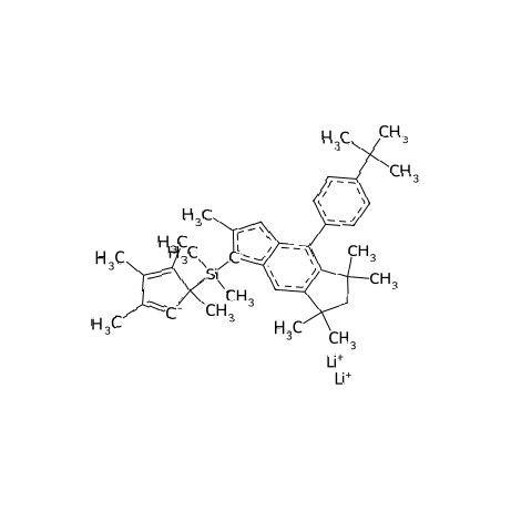 CC1=[C-]C(C)([Si](C)(C)[c-]2c(C)cc3c(-c4ccc(C(C)(C)C)cc4)c4c(cc32)C(C)(C)CC4(C)C)C(C)=C1C.[Li+].[Li+]